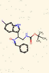 CC(C)(C)OC(=O)NCC(c1c[nH]c2cc(I)ccc12)/[N+]([O-])=C\c1ccccc1